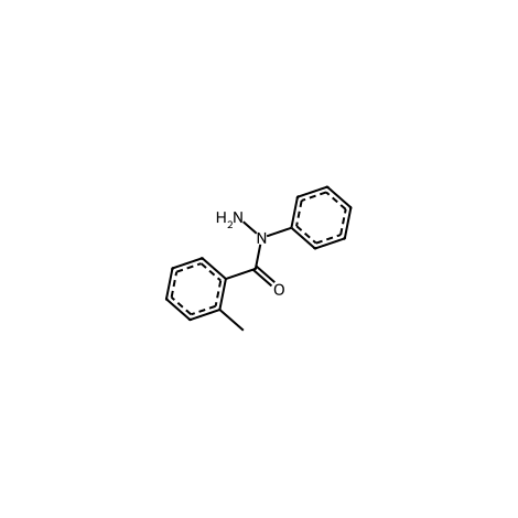 Cc1ccccc1C(=O)N(N)c1ccccc1